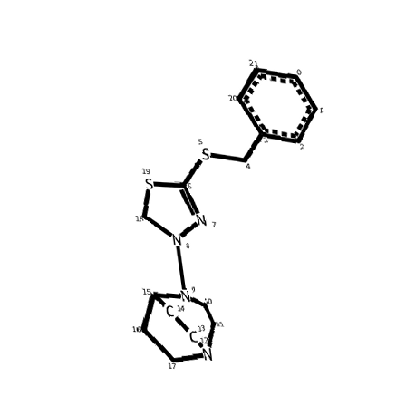 c1ccc(CSC2=NN(N3CCN4CCC3CC4)CS2)cc1